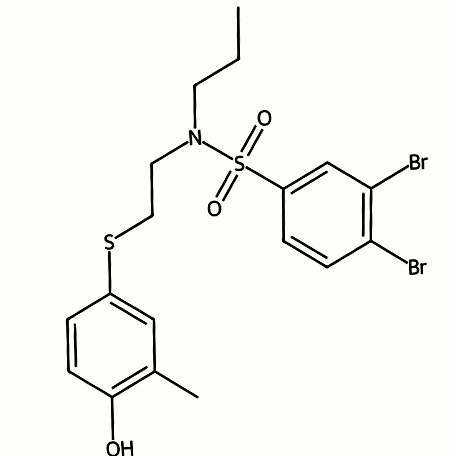 CCCN(CCSc1ccc(O)c(C)c1)S(=O)(=O)c1ccc(Br)c(Br)c1